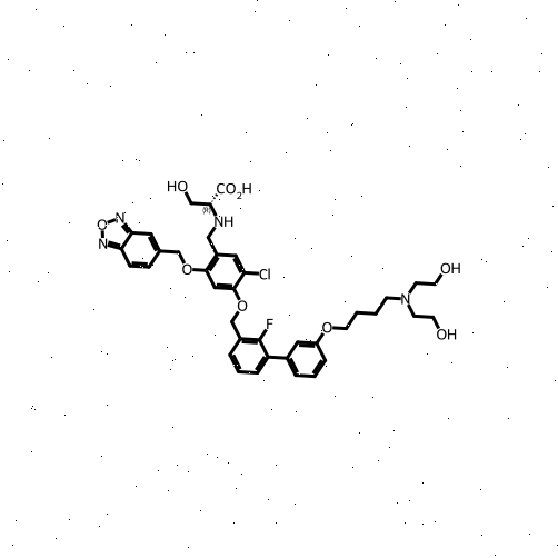 O=C(O)[C@@H](CO)NCc1cc(Cl)c(OCc2cccc(-c3cccc(OCCCCN(CCO)CCO)c3)c2F)cc1OCc1ccc2nonc2c1